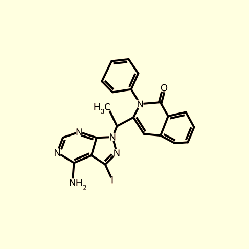 CC(c1cc2ccccc2c(=O)n1-c1ccccc1)n1nc(I)c2c(N)ncnc21